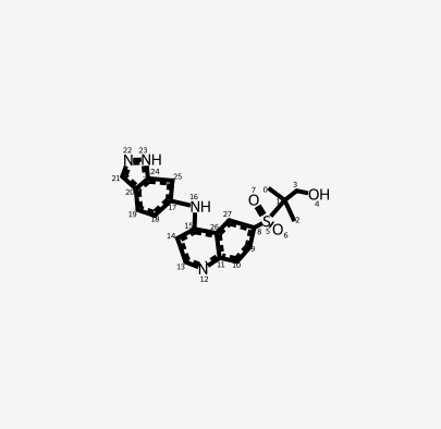 CC(C)(CO)S(=O)(=O)c1ccc2nccc(Nc3ccc4cn[nH]c4c3)c2c1